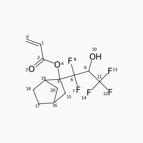 C=CC(=O)OC1(C(F)(F)C(O)C(F)(F)F)CC2CCC1C2